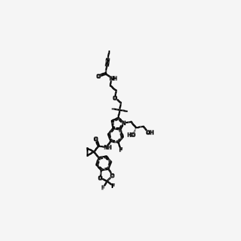 CC#CC(=O)NCCOCC(C)(C)c1cc2cc(NC(=O)C3(c4ccc5c(c4)OC(F)(F)O5)CC3)c(F)cc2n1C[C@@H](O)CO